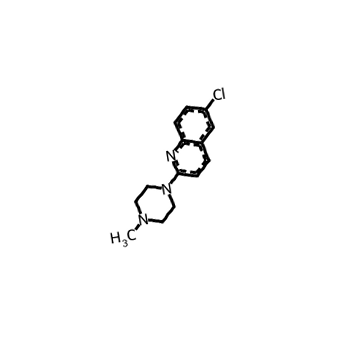 CN1CCN(c2ccc3cc(Cl)ccc3n2)CC1